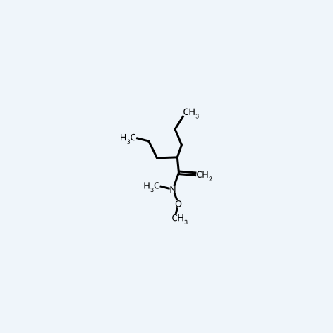 C=C(C(CCC)CCC)N(C)OC